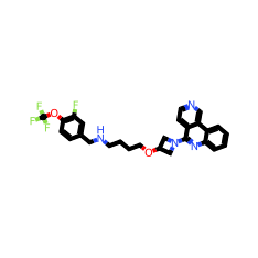 Fc1cc(CNCCCCOC2CN(c3nc4ccccc4c4cnccc34)C2)ccc1OC(F)(F)F